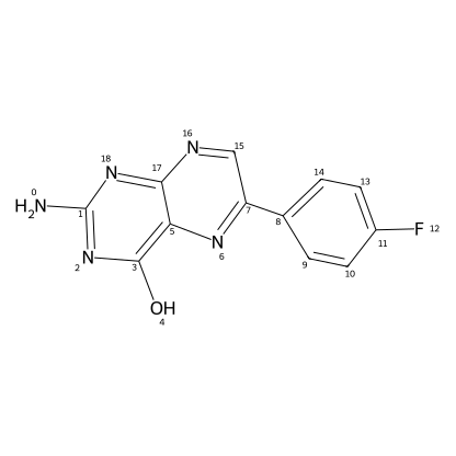 Nc1nc(O)c2nc(-c3ccc(F)cc3)cnc2n1